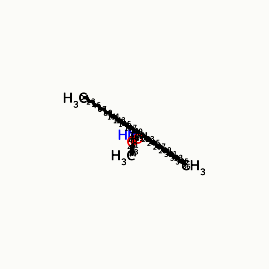 CCCCCCCCCCCCCCCCCCC(CCCCCCCCCCCCCCCCCC)NC(=O)OCCCC